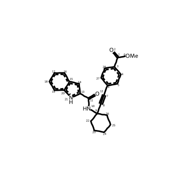 COC(=O)c1ccc(C#CC2(NC(=O)c3cc4ccccc4[nH]3)CCCCC2)cc1